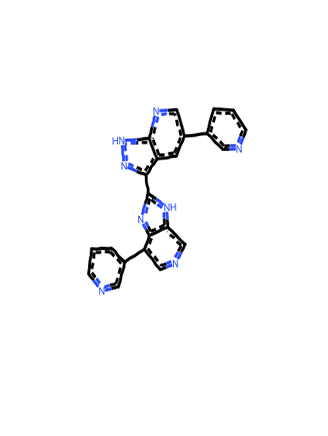 c1cncc(-c2cnc3[nH]nc(-c4nc5c(-c6cccnc6)cncc5[nH]4)c3c2)c1